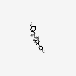 Fc1ccc(CNc2nn3cc(-c4ccc(Cl)cc4)nc3s2)cc1